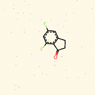 O=C1CCc2cc(F)cc(F)c21